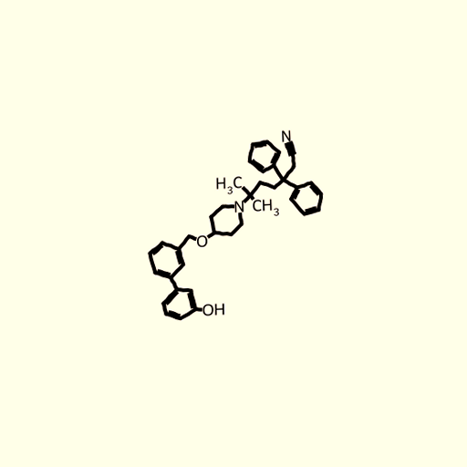 CC(C)(CCC(CC#N)(c1ccccc1)c1ccccc1)N1CCC(OCc2cccc(-c3cccc(O)c3)c2)CC1